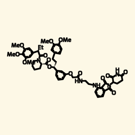 CC[C@H](C(=O)N1CCCC[C@H]1C(=O)O[C@H](CCc1ccc(OC)c(OC)c1)c1cccc(OCC(=O)NCCNc2cccc3c2C(=O)N(C2CCC(=O)NC2=O)C3=O)c1)c1cc(OC)c(OC)c(OC)c1